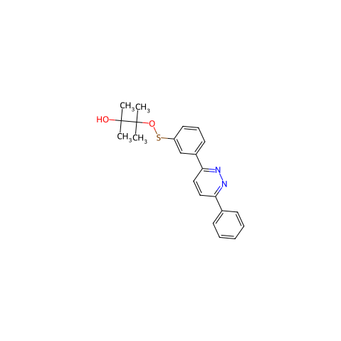 CC(C)(O)C(C)(C)OSc1cccc(-c2ccc(-c3ccccc3)nn2)c1